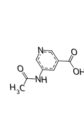 CC(=O)Nc1cncc(C(=O)O)c1